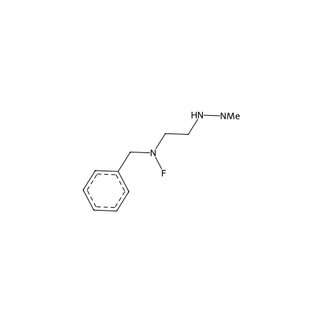 CNNCCN(F)Cc1ccccc1